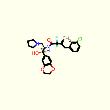 C=C(Cc1cccc(Cl)c1)C(F)(F)C(=O)N[C@H](CN1CCCC1)[C@H](O)c1ccc2c(c1)OCCO2